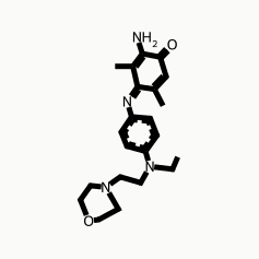 CCN(CCN1CCOCC1)c1ccc(N=C2C(C)=CC(=O)C(N)=C2C)cc1